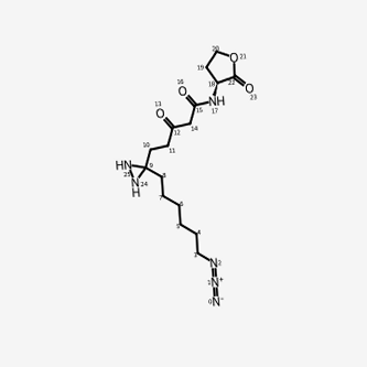 [N-]=[N+]=NCCCCCCC1(CCC(=O)CC(=O)N[C@H]2CCOC2=O)NN1